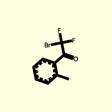 Cc1ccccc1C(=O)C(F)(F)Br